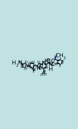 C/C=C(/C)c1ccccc1CCNC(=O)c1cc(C2CC2)n2nc(-c3ccc(N4CC[C@@H](N)C4)cc3F)cc2n1